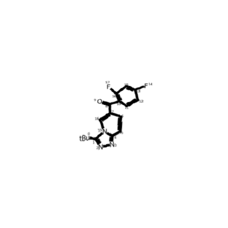 CC(C)(C)c1nnc2ccc(C(=O)c3ccc(F)cc3F)cn12